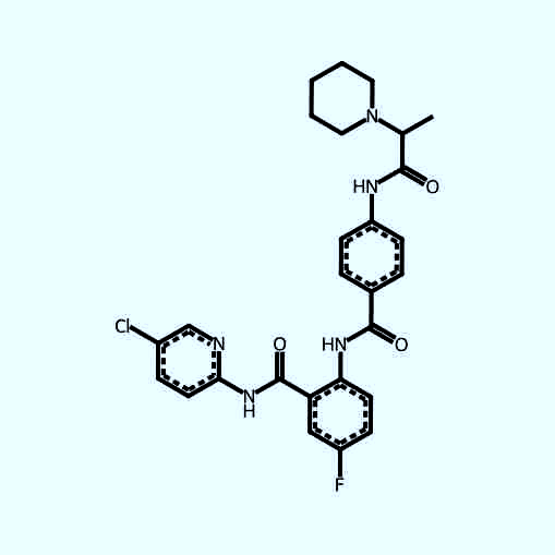 CC(C(=O)Nc1ccc(C(=O)Nc2ccc(F)cc2C(=O)Nc2ccc(Cl)cn2)cc1)N1CCCCC1